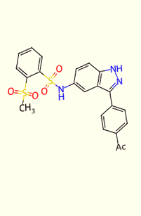 CC(=O)c1ccc(-c2n[nH]c3ccc(NS(=O)(=O)c4ccccc4S(C)(=O)=O)cc23)cc1